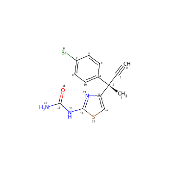 C#C[C@@](C)(c1ccc(Br)cc1)c1csc(NC(N)=O)n1